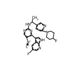 [C-]#[N+]c1cnc(NC(C)c2ccc(N3CCC(F)CC3)nc2)nc1-c1c[nH]c2ncc(F)cc12